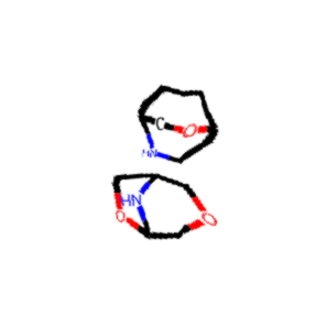 C1CC2CNC1CO2.C1OCC2NC1CO2